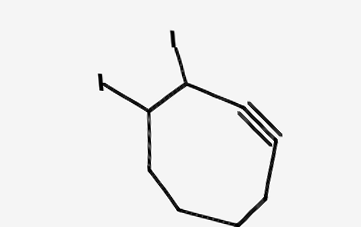 IC1C#CCCCCC1I